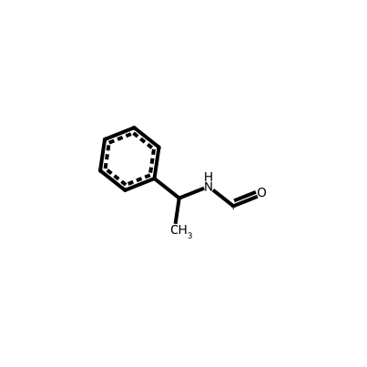 CC(N[C]=O)c1ccccc1